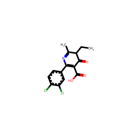 CCC1C(=O)C(C(=O)O)=C(c2ccc(Cl)c(Cl)c2)N=C1C